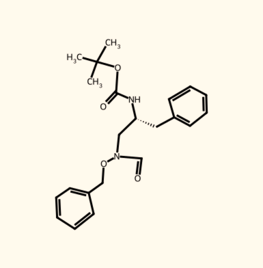 CC(C)(C)OC(=O)N[C@H](Cc1ccccc1)CN(C=O)OCc1ccccc1